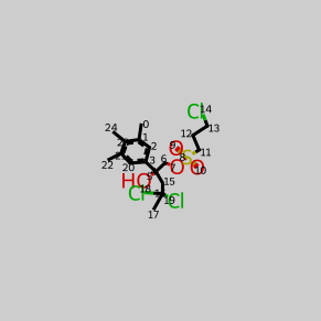 Cc1cc(C(O)(COS(=O)(=O)CCCCl)CC(C)(Cl)Cl)cc(C)c1C